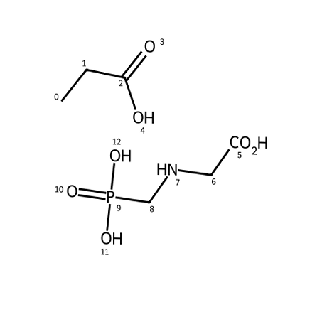 CCC(=O)O.O=C(O)CNCP(=O)(O)O